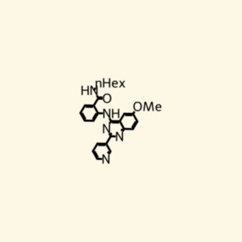 CCCCCCNC(=O)c1ccccc1Nc1nc(-c2cccnc2)nc2ccc(OC)cc12